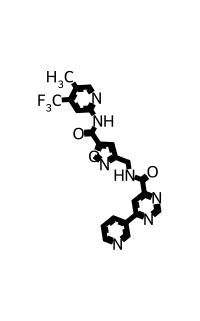 Cc1cnc(NC(=O)c2cc(CNC(=O)c3cc(-c4cccnc4)ncn3)no2)cc1C(F)(F)F